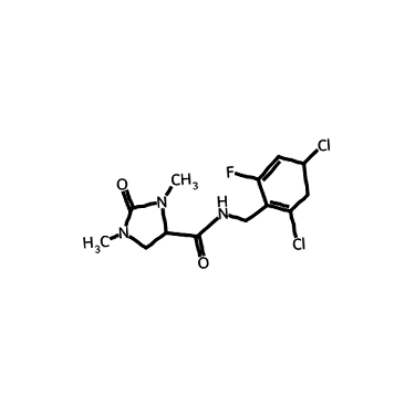 CN1CC(C(=O)NCC2=C(Cl)CC(Cl)C=C2F)N(C)C1=O